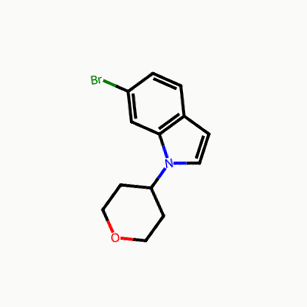 Brc1ccc2ccn(C3CCOCC3)c2c1